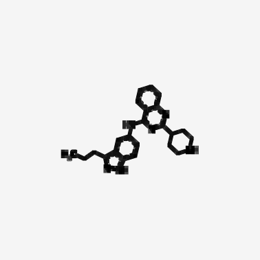 CCCc1n[nH]c2ccc(Nc3nc(C4CCNCC4)nc4ccccc34)cc12